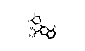 C[C@H](N)c1cc2cccc(Br)c2nc1N1CCNC(=O)C1